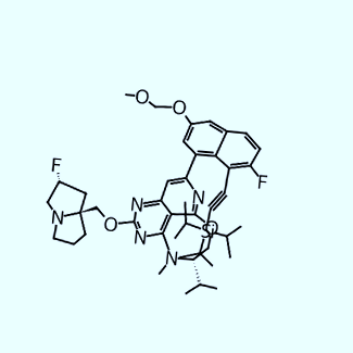 COCOc1cc(-c2cc3nc(OC[C@@]45CCCN4C[C@H](F)C5)nc4c3c(n2)OC[C@H](C(C)C)N4C)c2c(C#C[Si](C(C)C)(C(C)C)C(C)C)c(F)ccc2c1